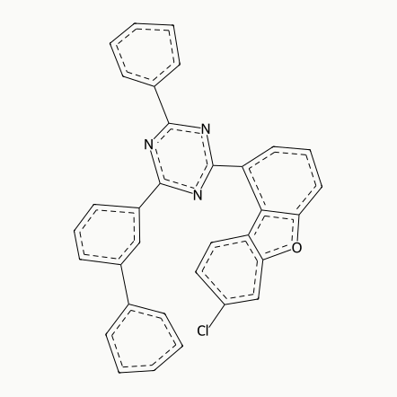 Clc1ccc2c(c1)oc1cccc(-c3nc(-c4ccccc4)nc(-c4cccc(-c5ccccc5)c4)n3)c12